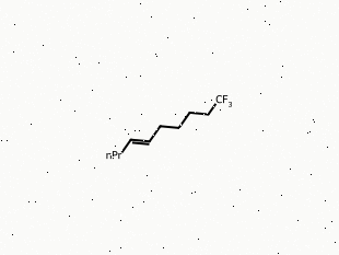 CCCC=CCCCCC(F)(F)F